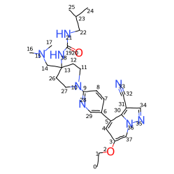 CCOc1cc(-c2ccc(N3CCC(CN(C)C)(NC(=O)NCC(C)C)CC3)nc2)c2c(C#N)cnn2c1